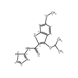 COc1ccc2c(OC(C)C)c(C(=O)Nc3nnn[nH]3)oc2c1